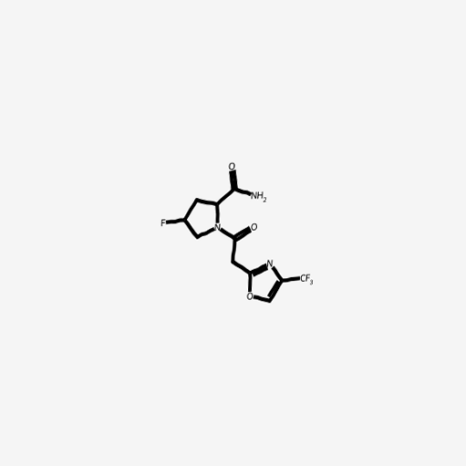 NC(=O)C1CC(F)CN1C(=O)Cc1nc(C(F)(F)F)co1